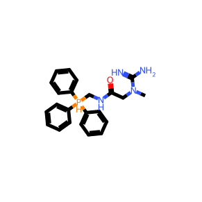 CN(CC(=O)NC[PH](c1ccccc1)(c1ccccc1)c1ccccc1)C(=N)N